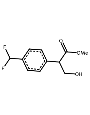 COC(=O)C(CO)c1ccc(C(F)F)cc1